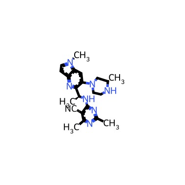 Cc1nc(C)c(C#N)c(N[C@@H](C)c2nc3ccn(C)c3cc2N2CCN[C@@H](C)C2)n1